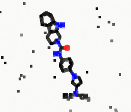 CN(C)C1CCN(c2ccc(NC(=O)N3CCc4c([nH]c5ccccc45)C3)cc2)C1